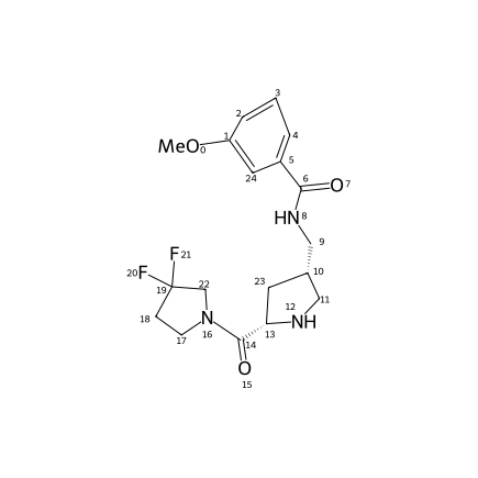 COc1cccc(C(=O)NC[C@@H]2CN[C@H](C(=O)N3CCC(F)(F)C3)C2)c1